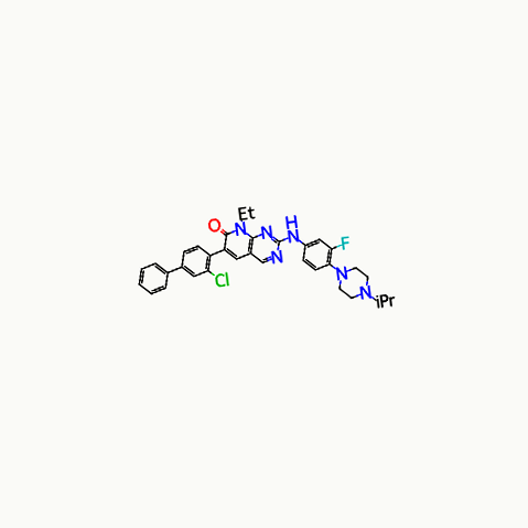 CCn1c(=O)c(-c2ccc(-c3ccccc3)cc2Cl)cc2cnc(Nc3ccc(N4CCN(C(C)C)CC4)c(F)c3)nc21